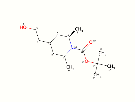 CC1CC(CCO)C[C@@H](C)N1C(=O)OC(C)(C)C